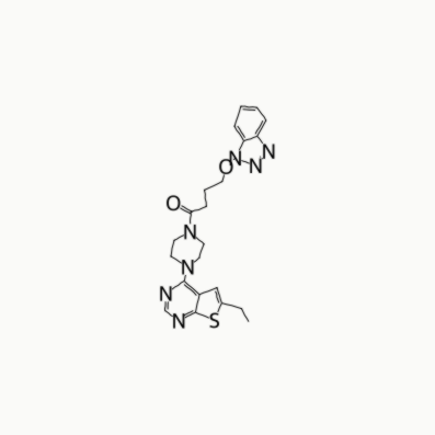 CCc1cc2c(N3CCN(C(=O)CCCOn4nnc5ccccc54)CC3)ncnc2s1